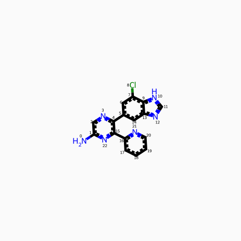 Nc1cnc(-c2cc(Cl)c3[nH]cnc3c2)c(-c2ccccn2)n1